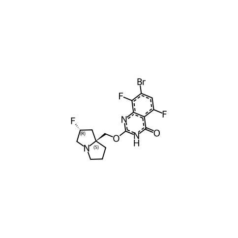 O=c1[nH]c(OC[C@@]23CCCN2C[C@H](F)C3)nc2c(F)c(Br)cc(F)c12